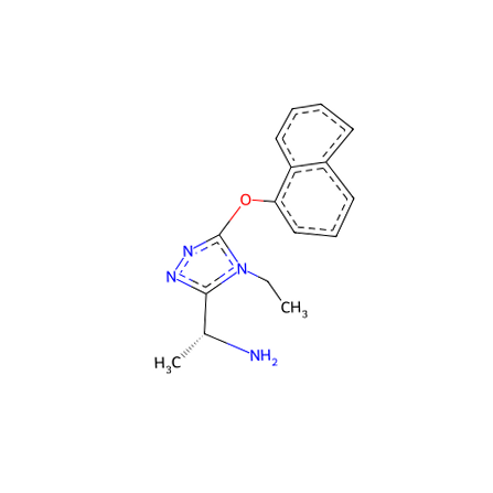 CCn1c(Oc2cccc3ccccc23)nnc1[C@@H](C)N